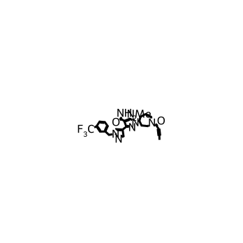 CC#CC(=O)N1CCC[C@H](n2nc(-c3cnn(Cc4cccc(C(F)(F)F)c4)c3)c(C(N)=O)c2NC)CC1